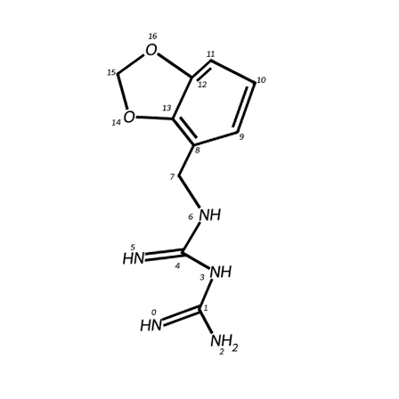 N=C(N)NC(=N)NCc1cccc2c1OCO2